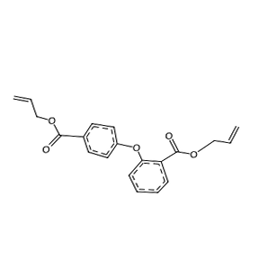 C=CCOC(=O)c1ccc(Oc2ccccc2C(=O)OCC=C)cc1